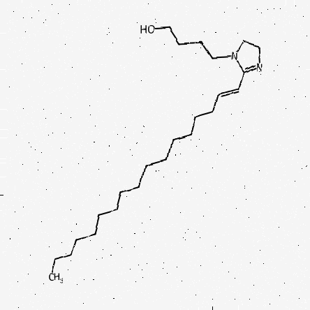 CCCCCCCCCCCCCCCC=CC1=NCCN1CCCCO